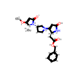 CC[C@H](C)[C@H]1C(OC(C)(C)C)=CC(=O)N1[C@H]1CCN(C2=CC(=O)N[C@H]2CC(=O)OCc2ccccc2)C1